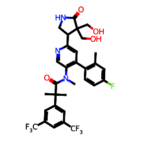 Cc1cc(F)ccc1-c1cc(C2CNC(=O)C2(CO)CO)ncc1N(C)C(=O)C(C)(C)c1cc(C(F)(F)F)cc(C(F)(F)F)c1